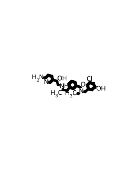 CCN(Cc1cc(O)cc(Cl)c1)C(=O)c1cccc(C[C@@H](C)NC[C@H](O)c2ccc(N)nc2)c1